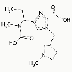 CCC(c1cn(CC2CCN(C)C2)cn1)N(C)C(=O)O.O=CO